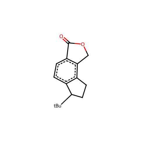 CC(C)(C)C1CCc2c1ccc1c2COC1=O